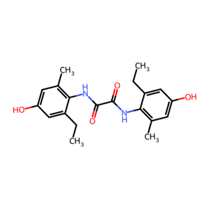 CCc1cc(O)cc(C)c1NC(=O)C(=O)Nc1c(C)cc(O)cc1CC